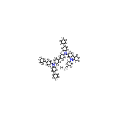 CC1C=CC(n2c3ccccc3c3ccc(N(c4ccc(-c5ccccc5)cc4)c4ccc(-c5ccc(N(c6ccc(-c7ccccc7)cc6)c6ccc(-c7ccccc7)cc6)cc5)cc4)cc32)CC1